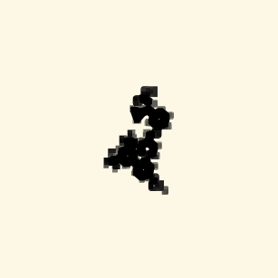 COc1ccc(-c2cc(C(F)(F)F)cc(C(F)(F)F)c2)c(N2CCC(COc3cccc([C@@H](CC(=O)O)C4CC4)c3)CC2)c1